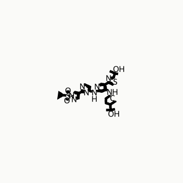 CC(C)(O)c1nc(-c2cnc(Nc3ccnc(-c4cnn(S(=O)(=O)C5CC5)c4)n3)cc2NC2CCC(C(C)(C)O)CC2)cs1